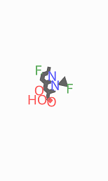 Cc1nc2c(cc1F)c(=O)c(C(=O)O)cn2[C@@H]1C[C@@H]1F